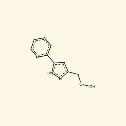 OOCc1cc(-c2ccccn2)[nH]n1